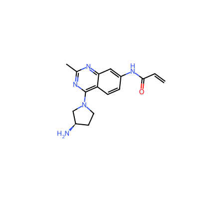 C=CC(=O)Nc1ccc2c(N3CC[C@@H](N)C3)nc(C)nc2c1